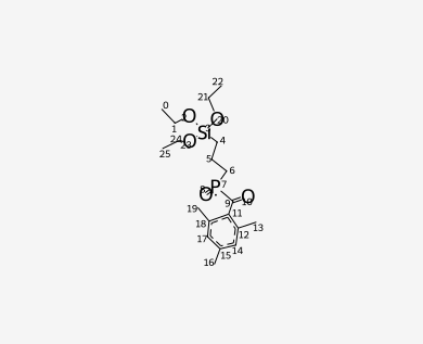 CCO[Si](CCC[P](=O)C(=O)c1c(C)cc(C)cc1C)(OCC)OCC